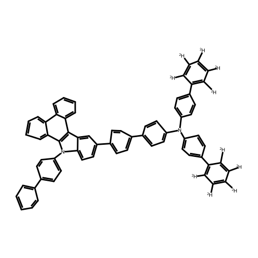 [2H]c1c([2H])c([2H])c(-c2ccc(N(c3ccc(-c4ccc(-c5ccc6c(c5)c5c7ccccc7c7ccccc7c5n6-c5ccc(-c6ccccc6)cc5)cc4)cc3)c3ccc(-c4c([2H])c([2H])c([2H])c([2H])c4[2H])cc3)cc2)c([2H])c1[2H]